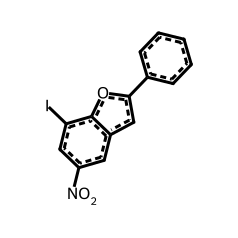 O=[N+]([O-])c1cc(I)c2oc(-c3ccccc3)cc2c1